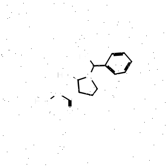 COC(=O)[C@H]1CCN(C(C)c2ccccc2)[C@@H]1C